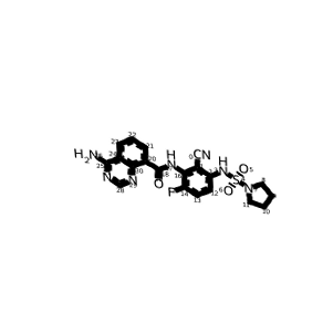 N#Cc1c(NS(=O)(=O)N2CCCC2)ccc(F)c1NC(=O)c1cccc2c(N)ncnc12